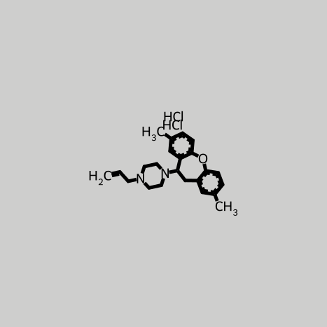 C=CCN1CCN(C2Cc3cc(C)ccc3Oc3ccc(C)cc32)CC1.Cl.Cl